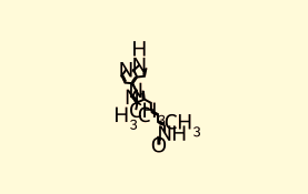 C/C(=C\C=C(/C)NC=O)Cc1cn(-c2ccnc3[nH]ccc23)nc1C